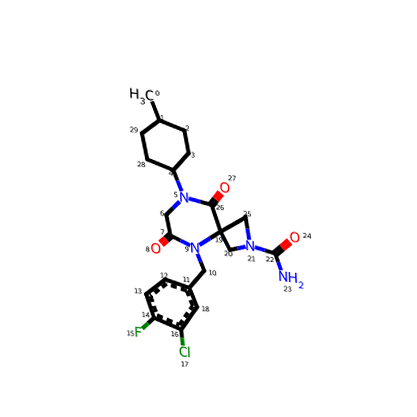 CC1CCC(N2CC(=O)N(Cc3ccc(F)c(Cl)c3)C3(CN(C(N)=O)C3)C2=O)CC1